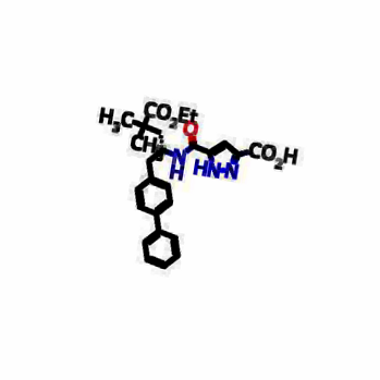 CCOC(=O)C(C)(C)C[C@@H](Cc1ccc(-c2ccccc2)cc1)NC(=O)c1cc(C(=O)O)n[nH]1